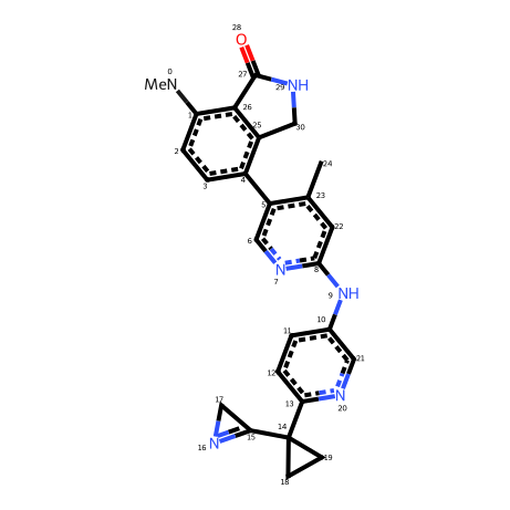 CNc1ccc(-c2cnc(Nc3ccc(C4(C5=NC5)CC4)nc3)cc2C)c2c1C(=O)NC2